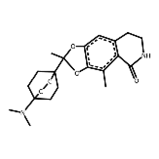 Cc1c2c(cc3c1C(=O)NCC3)OC(C)(C13CCC(N(C)C)(CC1)CC3)O2